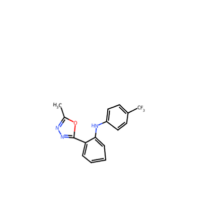 Cc1nnc(-c2ccccc2Nc2ccc(C(F)(F)F)cc2)o1